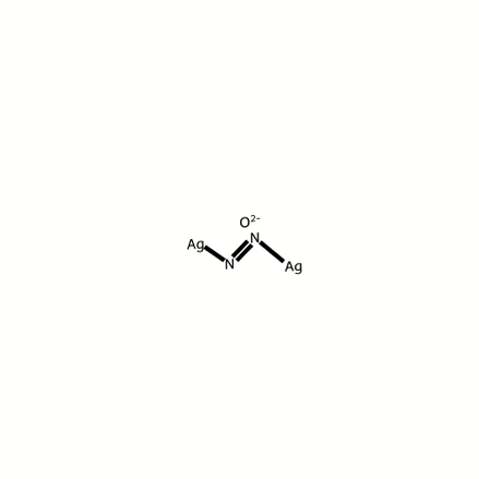 [Ag][N]=[N][Ag].[O-2]